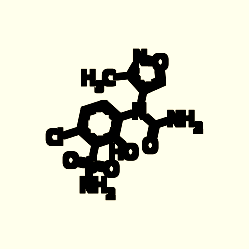 Cc1nocc1N(C(N)=O)c1ccc(Cl)c(S(N)(=O)=O)c1O